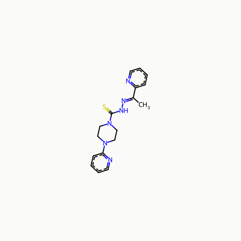 C/C(=N\NC(=S)N1CCN(c2ccccn2)CC1)c1ccccn1